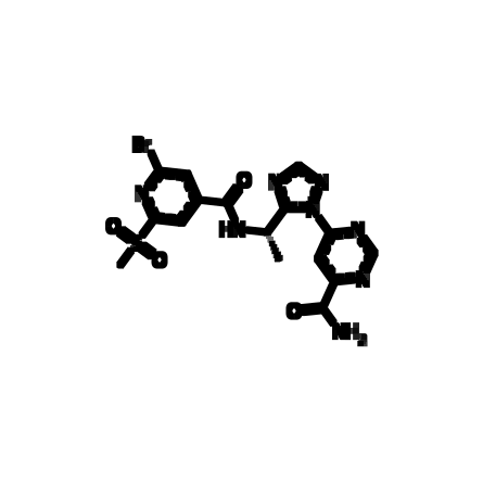 C[C@H](NC(=O)c1cc(Br)nc(S(C)(=O)=O)c1)c1ncnn1-c1cc(C(N)=O)ncn1